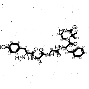 C[C@@H](NC(=O)[C@@H](N)Cc1ccc(O)cc1)C(=O)NCC(=O)N[C@@H](Cc1ccccc1)C(=O)N1CCNC(=O)C1(C)C